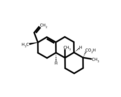 C=C[C@]1(C)C=C2CC[C@@H]3C(C)(CCC[C@@]3(C)C(=O)O)[C@H]2CC1